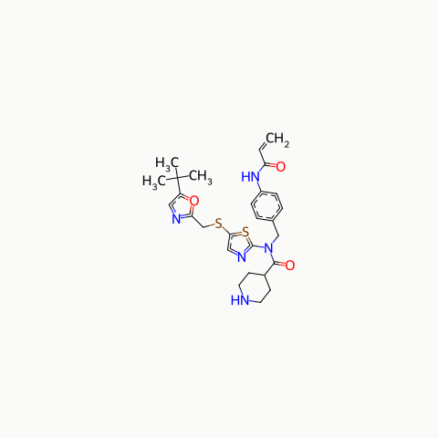 C=CC(=O)Nc1ccc(CN(C(=O)C2CCNCC2)c2ncc(SCc3ncc(C(C)(C)C)o3)s2)cc1